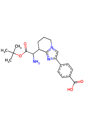 CC(C)(C)OC(=O)C(N)C1CCCn2cc(-c3ccc(C(=O)O)cc3)nc21